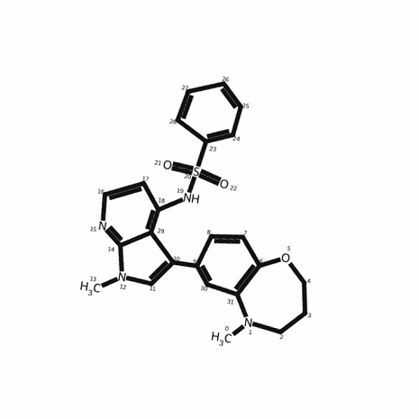 CN1CCCOc2ccc(-c3cn(C)c4nccc(NS(=O)(=O)c5ccccc5)c34)cc21